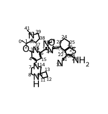 C[C@H](Oc1cc(N2CCNC3(CCC3)C2)cc(-c2noc([C@@]3(C)CCCc4sc(N)c(C#N)c43)n2)n1)[C@@H]1CCCN1C